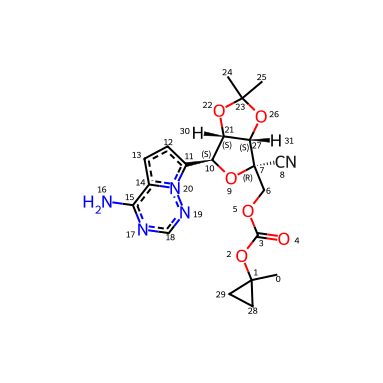 CC1(OC(=O)OC[C@@]2(C#N)O[C@@H](c3ccc4c(N)ncnn34)[C@@H]3OC(C)(C)O[C@@H]32)CC1